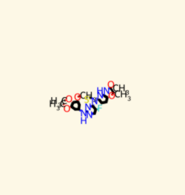 COc1cc(Nc2ncc(F)c(N(C=S)c3ccc4c(n3)NC(=O)C(C)(C)O4)n2)cc(OC)c1OC